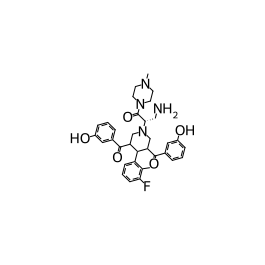 Cc1c(F)cccc1C1C(C(=O)c2cccc(O)c2)CN([C@@H](CN)C(=O)N2CCN(C)CC2)CC1C(=O)c1cccc(O)c1